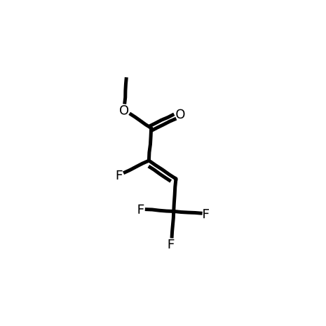 COC(=O)/C(F)=C/C(F)(F)F